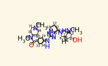 CN[C@@]12CC(O)C[C@@H]1CN(c1cccn3nc(Nc4ccc(C(=O)N(C)C5CCN(C)CC5)cc4)nc13)C2